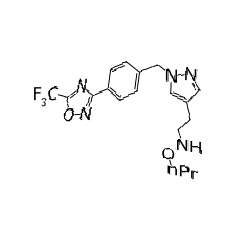 CCCONCCc1cnn(Cc2ccc(-c3noc(C(F)(F)F)n3)cc2)c1